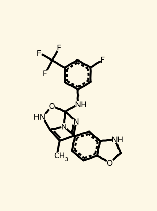 CC1=C2NOC(Nc3cc(F)cc(C(F)(F)F)c3)(N=C1)N2c1ccc2c(c1)NCO2